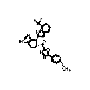 COc1ccc(-c2nnc(C(=O)N3CCc4[nH]cnc4[C@H]3c3cc4cccc(C(F)(F)F)n4n3)o2)cn1